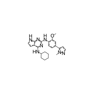 COc1cc(-c2ccnn2C)ccc1Nc1nc(NC2CCCCC2)c2cc[nH]c2n1